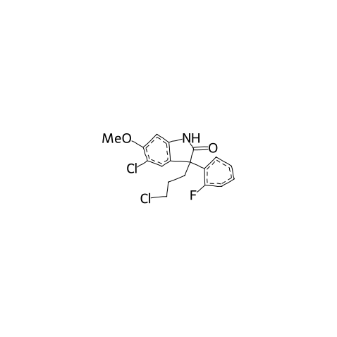 COc1cc2c(cc1Cl)C(CCCCl)(c1ccccc1F)C(=O)N2